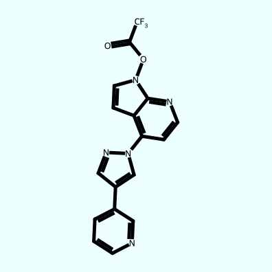 O=C(On1ccc2c(-n3cc(-c4cccnc4)cn3)ccnc21)C(F)(F)F